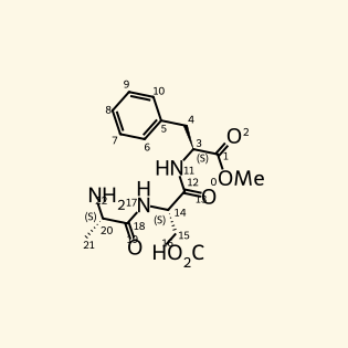 COC(=O)[C@H](Cc1ccccc1)NC(=O)[C@H](CC(=O)O)NC(=O)[C@H](C)N